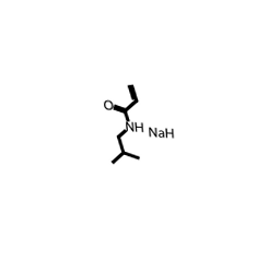 C=CC(=O)NCC(C)C.[NaH]